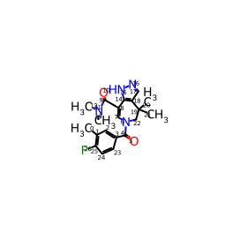 Cc1cc(C(=O)N2C=C(C(=O)N(C)C)c3[nH]ncc3C(C)(C)C2)ccc1F